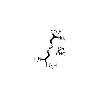 NC(CSSC[C@H](N)C(=O)O)C(=O)O.O=CO